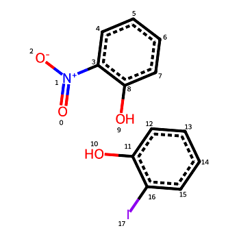 O=[N+]([O-])c1ccccc1O.Oc1ccccc1I